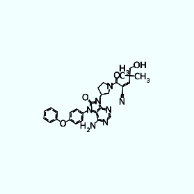 CC(C)(/C=C(/C#N)C(=O)N1CC[C@H](n2c(=O)n(-c3ccc(Oc4ccccc4)cc3)c3c(N)ncnc32)C1)CO